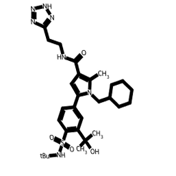 Cc1c(C(=O)NCCc2nn[nH]n2)cc(-c2ccc(S(=O)(=O)NC(C)(C)C)c(C(C)(C)O)c2)n1CC1CCCCC1